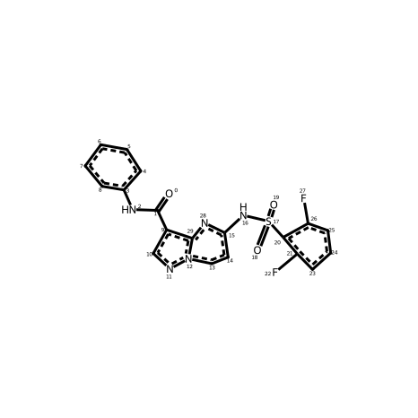 O=C(Nc1ccccc1)c1cnn2ccc(NS(=O)(=O)c3c(F)cccc3F)nc12